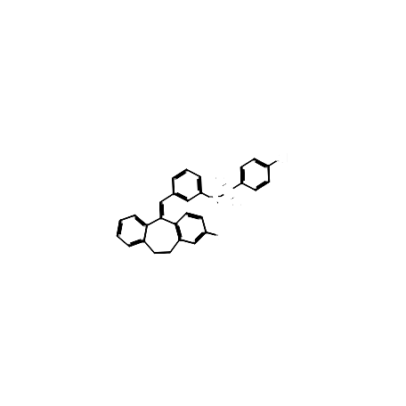 O=S(=O)(Nc1cccc(C=C2c3ccccc3CCc3cc(Cl)ccc32)c1)c1ccc(Cl)cc1